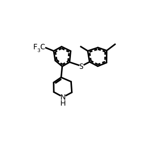 Cc1ccc(Sc2ccc(C(F)(F)F)cc2C2=CCNCC2)c(C)c1